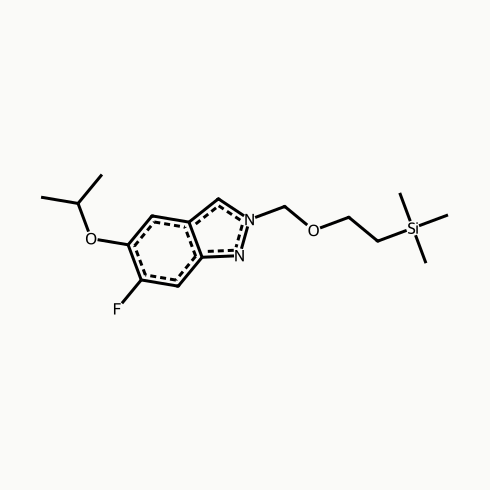 CC(C)Oc1cc2cn(COCC[Si](C)(C)C)nc2cc1F